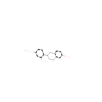 COc1ccc(C2CCc3cc(O)ccc3C2)c(C)c1